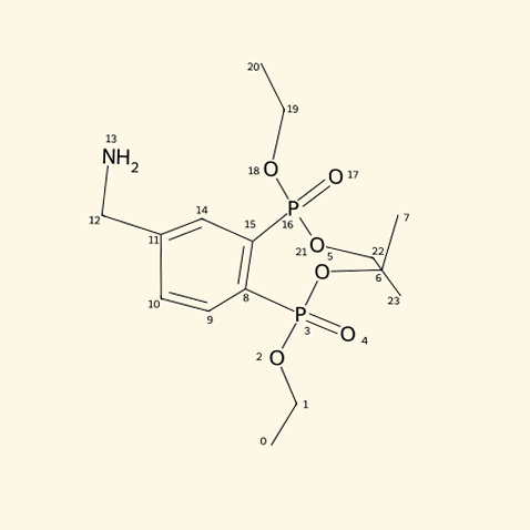 CCOP(=O)(OCC)c1ccc(CN)cc1P(=O)(OCC)OCC